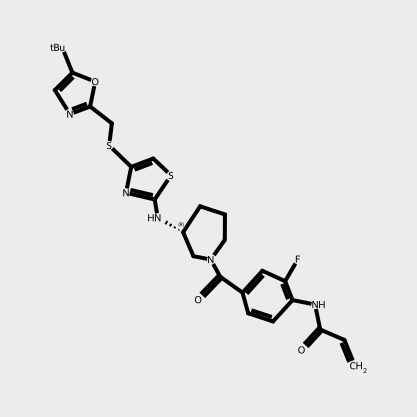 C=CC(=O)Nc1ccc(C(=O)N2CCC[C@@H](Nc3nc(SCc4ncc(C(C)(C)C)o4)cs3)C2)cc1F